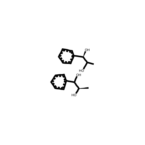 CC(O)[C@H](O)c1ccccc1.C[C@@H](O)C(O)c1ccccc1